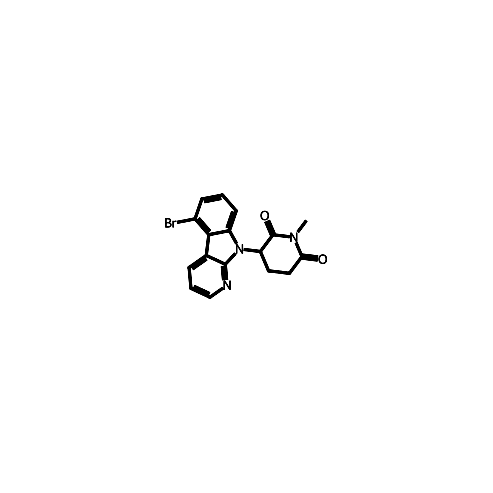 CN1C(=O)CCC(n2c3cccc(Br)c3c3cccnc32)C1=O